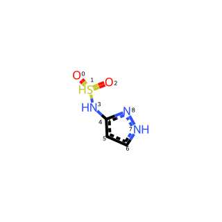 O=[SH](=O)Nc1cc[nH]n1